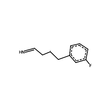 N=CC[CH]Cc1cccc(F)c1